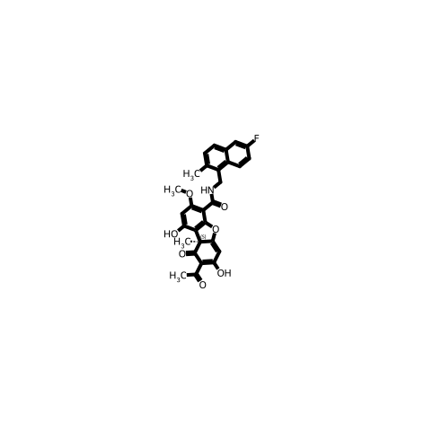 COc1cc(O)c2c(c1C(=O)NCc1c(C)ccc3cc(F)ccc13)OC1=CC(O)=C(C(C)=O)C(=O)[C@]12C